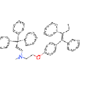 CC/C(=C(\c1ccccc1)c1ccc(OCCN(C)C=CC(c2ccccc2)(c2ccccc2)c2ccccc2)cc1)c1ccccc1